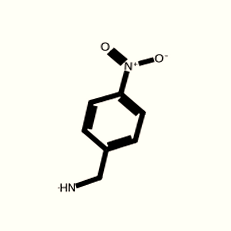 [NH]Cc1ccc([N+](=O)[O-])cc1